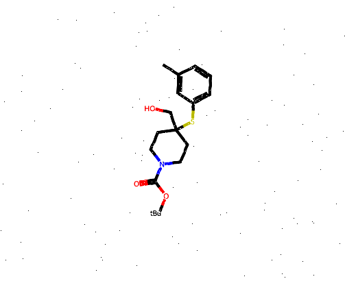 Cc1cccc(SC2(CO)CCN(C(=O)OC(C)(C)C)CC2)c1